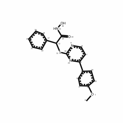 COc1ccc(-c2ccnc(SC(C(=O)NO)c3ccccc3)n2)cc1